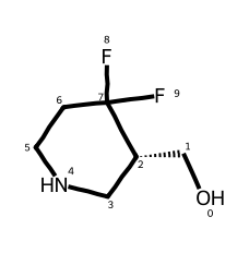 OC[C@@H]1CNCCC1(F)F